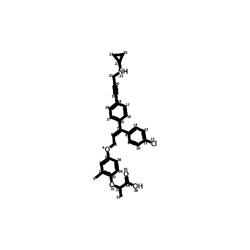 Cc1cc(OCC=C(c2ccc(Cl)cc2)c2ccc(C#CCNC3CC3)cc2)ccc1OC(C)C(=O)O